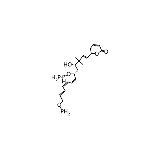 CC(C)(/C=C/[C@H]1CC=CC(=O)O1)[C@H](O)C[C@H](\C=C/C=C\C=C\COP)OPP